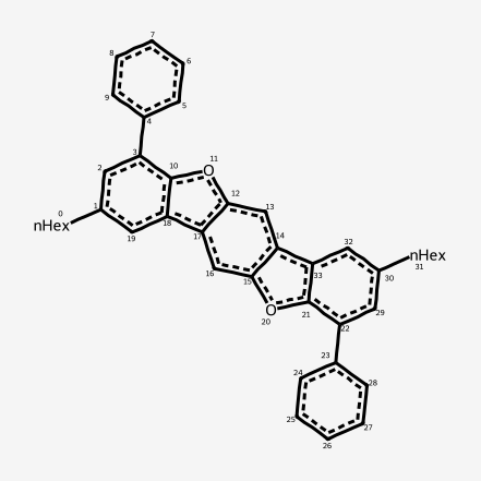 CCCCCCc1cc(-c2ccccc2)c2oc3cc4c(cc3c2c1)oc1c(-c2ccccc2)cc(CCCCCC)cc14